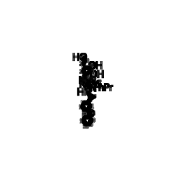 CCCSc1nc(NC2CC2c2cccc(Oc3ccccc3)c2)c2nnn([C@H]3C[C@@H](CCO)[C@H](O)[C@@H]3O)c2n1